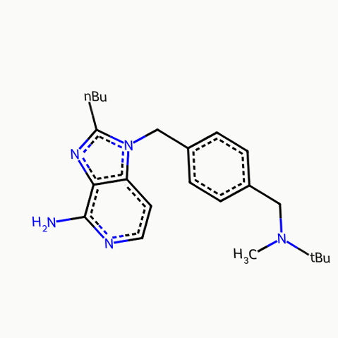 CCCCc1nc2c(N)nccc2n1Cc1ccc(CN(C)C(C)(C)C)cc1